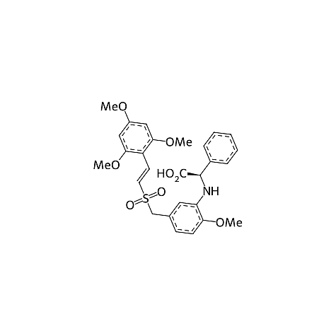 COc1cc(OC)c(C=CS(=O)(=O)Cc2ccc(OC)c(N[C@@H](C(=O)O)c3ccccc3)c2)c(OC)c1